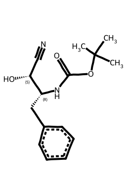 CC(C)(C)OC(=O)N[C@H](Cc1ccccc1)[C@H](O)C#N